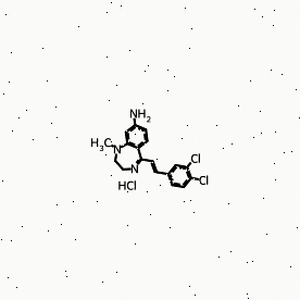 CN1CCN=C(C=Cc2ccc(Cl)c(Cl)c2)c2ccc(N)cc21.Cl